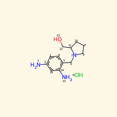 Cl.Nc1ccc(CN2CCCC2CO)c(N)c1